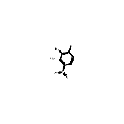 Cc1ccc(S(=O)[O-])cc1Br.[Na+]